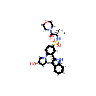 C[C@H](NS(=O)(=O)c1ccc(N2CC[C@H](O)C2)c(-c2cc3ccccc3[nH]2)c1)C(=O)N1CCOCC1